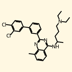 CCN(CC)CCCC(C)Nc1nc(-c2cccc(-c3ccc(Cl)c(Cl)c3)c2)nc2c(C)cccc12